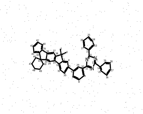 CC1(C)c2cc(-c3cccc(-c4nc(-c5ccccc5)nc(-c5ccccc5)n4)c3)ccc2-c2cc3c(cc21)-c1ccccc1C31CCCCC1